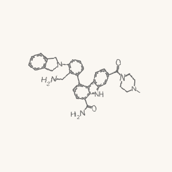 CN1CCN(C(=O)c2ccc3c(c2)[nH]c2c(C(N)=O)ccc(-c4cccc(N5Cc6ccccc6C5)c4CN)c23)CC1